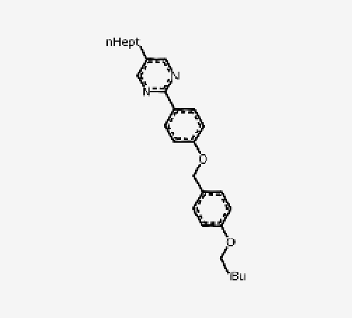 CCCCCCCc1cnc(-c2ccc(OCc3ccc(OCC(C)CC)cc3)cc2)nc1